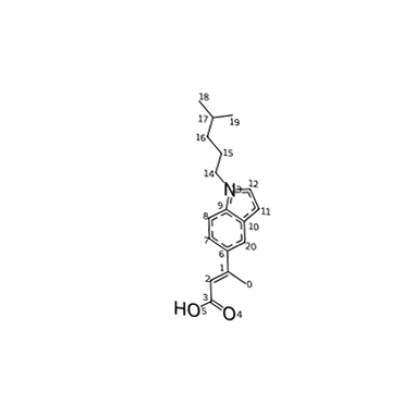 C/C(=C\C(=O)O)c1ccc2c(ccn2CCCC(C)C)c1